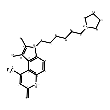 C=C1C=C(C(F)(F)F)c2c(ccc3c2c(C)c(C)n3CCCCCCN2CCCC2)N1